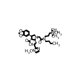 CCCCN(CCC[N+](C)(C)C)C(=O)CN1C[C@H](c2ccc3c(c2)OCO3)[C@@H](C(=O)O)[C@@H]1CCc1nccn1C